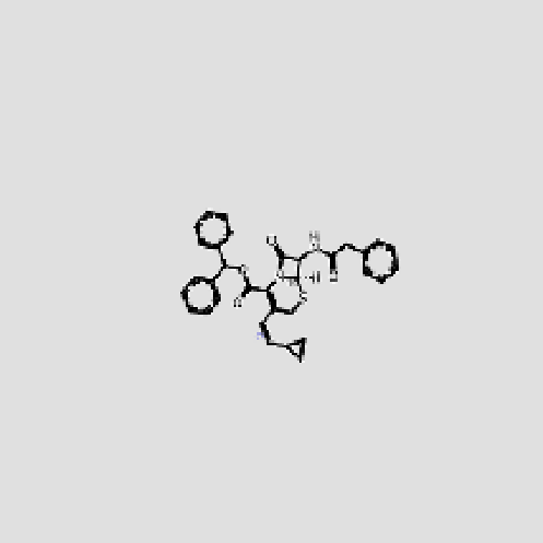 O=C(Cc1ccccc1)NC1C(=O)N2C(C(=O)OC(c3ccccc3)c3ccccc3)=C(/C=C\C3CC3)CS[C@H]12